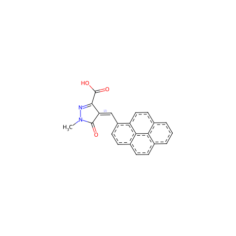 CN1N=C(C(=O)O)/C(=C/c2ccc3ccc4cccc5ccc2c3c45)C1=O